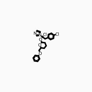 Clc1ccc(CC(Cl)(OC2CCCC(COc3ccccc3)O2)n2ccnc2)cc1